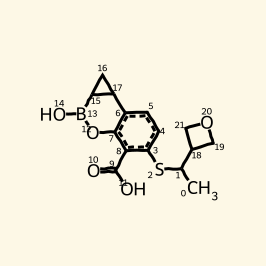 CC(Sc1ccc2c(c1C(=O)O)OB(O)C1CC21)C1COC1